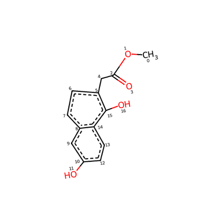 COC(=O)Cc1ccc2cc(O)ccc2c1O